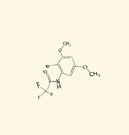 COc1cc(NC(=O)C(F)(F)F)c(Br)c(OC)c1